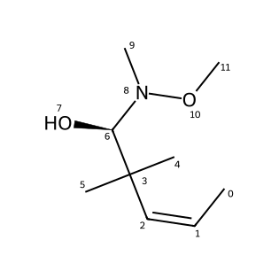 C/C=C\C(C)(C)[C@@H](O)N(C)OC